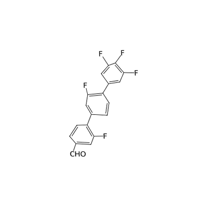 O=Cc1ccc(-c2ccc(-c3cc(F)c(F)c(F)c3)c(F)c2)c(F)c1